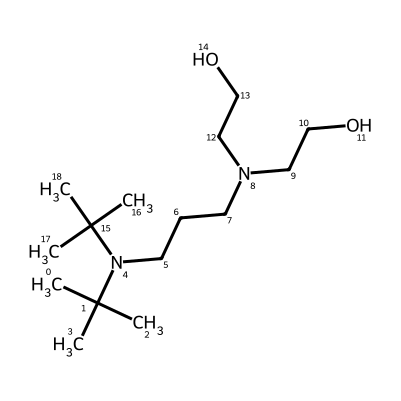 CC(C)(C)N(CCCN(CCO)CCO)C(C)(C)C